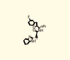 CCC[C@H](NC(=O)C1C[C@@H]1c1nc2ccccc2[nH]1)c1cc2cc(F)ccc2o1